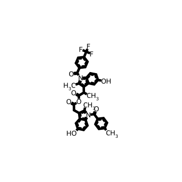 Cc1ccc(C(=O)n2c(C)c(CC(=O)OC(=O)C(C)c3c(C)n(C(=O)c4ccc(C(F)(F)F)cc4)c4ccc(O)cc34)c3cc(O)ccc32)cc1